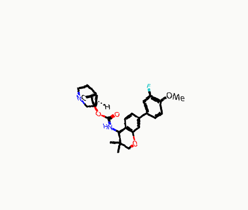 COc1ccc(-c2ccc3c(c2)OCC(C)(C)C3NC(=O)O[C@H]2CN3CCC2CC3)cc1F